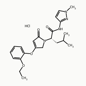 CCOc1ccccc1OC1=CC(=O)N([C@@H](CC(C)C)C(=O)Nc2ccn(C)n2)C1.Cl